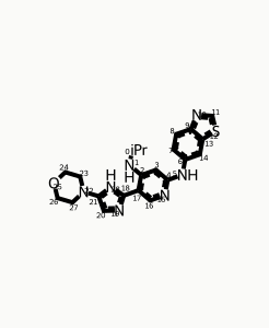 CC(C)Nc1cc(Nc2ccc3ncsc3c2)ncc1-c1ncc(N2CCOCC2)[nH]1